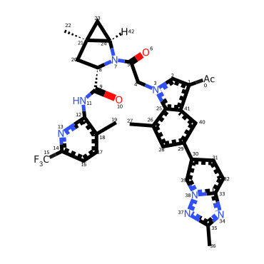 CC(=O)c1cn(CC(=O)N2[C@H](C(=O)Nc3nc(C(F)(F)F)ccc3C)C[C@@]3(C)C[C@@H]23)c2c(C)cc(-c3ccc4nc(C)nn4c3)cc12